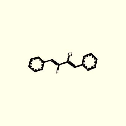 FC(=Cc1ccccc1)C(Cl)=Cc1ccccc1